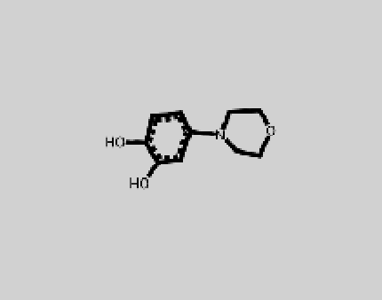 Oc1ccc(N2CCOCC2)cc1O